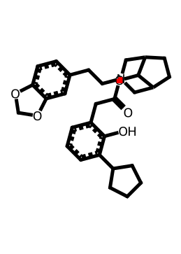 O=C(Cc1cccc(C2CCCC2)c1O)OC1C2CCC1CN(CCc1ccc3c(c1)OCO3)C2